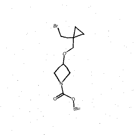 CC(C)(C)OC(=O)N1CC(OCC2(CBr)CC2)C1